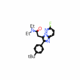 CCN(CC)C(=O)Cc1c(-c2ccc(C(C)(C)C)cc2)nc2ccc(F)nn12